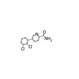 NC(=O)c1ccc(-c2cccc(Cl)c2Cl)cn1